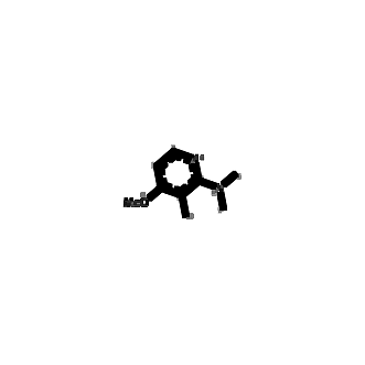 COc1ccnc(N(C)C)c1C